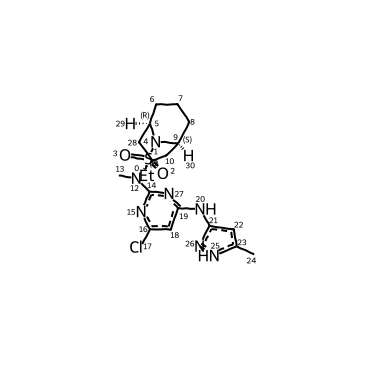 CCS(=O)(=O)N1[C@@H]2CCC[C@H]1C[C@H](N(C)c1nc(Cl)cc(Nc3cc(C)[nH]n3)n1)C2